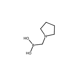 OB(O)CN1CCCC1